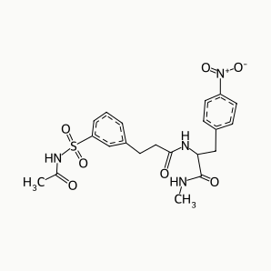 CNC(=O)C(Cc1ccc([N+](=O)[O-])cc1)NC(=O)CCc1cccc(S(=O)(=O)NC(C)=O)c1